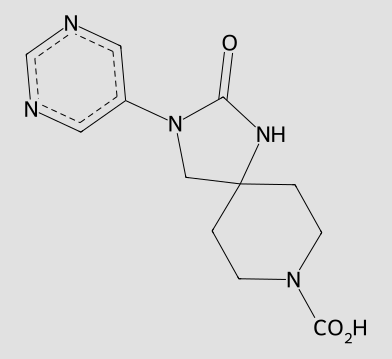 O=C(O)N1CCC2(CC1)CN(c1cncnc1)C(=O)N2